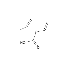 C=CC.C=COC(=O)O